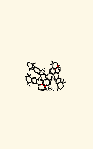 CC(C)(C)c1cc2c3c(c1)N(c1cc4c(cc1-c1ccccc1)C(C)(C)CCC4(C)C)c1c(sc4cc5c(cc14)C1(C)CCC5(C)C1)B3c1cc3c(cc1N2c1cc2c(cc1-c1ccccc1)C(C)(C)CCC2(C)C)C(C)(C)CCC3(C)C